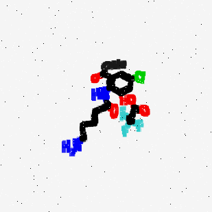 COC(=O)c1cc(Cl)ccc1NC(=O)CCCCN.O=C(O)C(F)(F)F